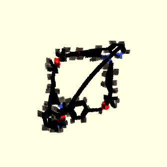 C[Si]1(C)OCc2ccc(cc2)-n2c3ccc4cc3c3cc(cnc32)[Si](C)(C)O[Si](C)(C)c2cnc3c(c2)c2cc(ccc2n3-c2ccc1cc2)[Si](C)(C)O[Si]4(C)C